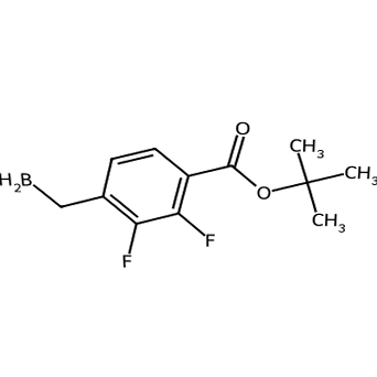 BCc1ccc(C(=O)OC(C)(C)C)c(F)c1F